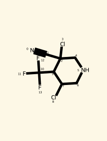 N#CC1(Cl)CNCC(Cl)C1C(F)(F)F